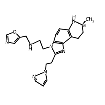 C[C@H]1CCc2c(ccc3c2nc(CCn2cccn2)n3CCNCc2cnco2)N1